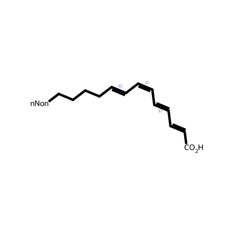 CCCCCCCCCCCCC/C=C/C=C\C=C\C=CC(=O)O